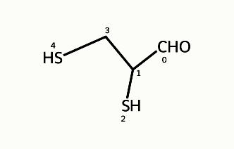 O=CC(S)CS